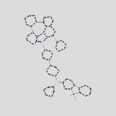 CC1(C)c2ccccc2-c2ccc(N(c3ccccc3)c3ccc(-c4ccc(-n5c6cccc7c6c6c8c(cccc8cc(-c8ccccc8)c65)-c5ccccc5-7)cc4)cc3)cc21